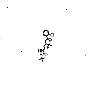 CC(C)(C)OC(=O)NCCC(CC(=O)c1ccccc1Cl)C(C)(F)F